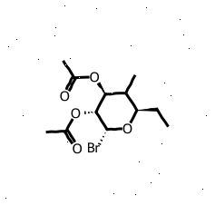 CC[C@H]1O[C@H](Br)[C@H](OC(C)=O)[C@@H](OC(C)=O)C1C